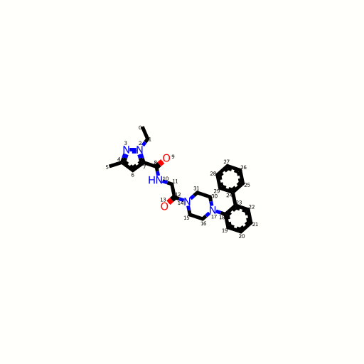 CCn1nc(C)cc1C(=O)NCC(=O)N1CCN(c2ccccc2-c2ccccc2)CC1